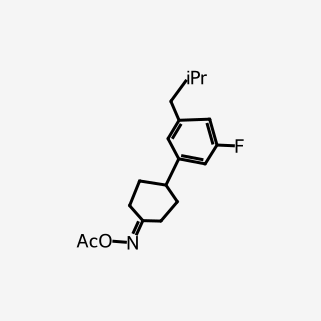 CC(=O)ON=C1CCC(c2cc(F)cc(CC(C)C)c2)CC1